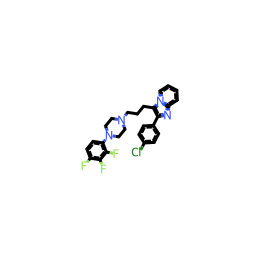 Fc1ccc(N2CCN(CCCc3c(-c4ccc(Cl)cc4)nc4ccccn34)CC2)c(F)c1F